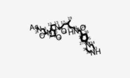 CC(=O)N(C)CC(=O)N1CC(=O)C2C1CCN2C(=O)CC(C)CCNC(=O)c1ccc(N2CCNCC2)cc1